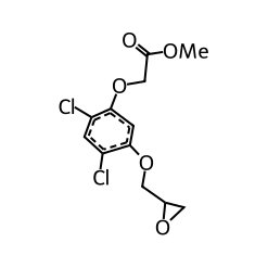 COC(=O)COc1cc(OCC2CO2)c(Cl)cc1Cl